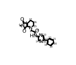 CN1C(=O)C2=C(C1=O)N(CC(=O)Nc1cnc(-c3ccccc3)cn1)CCC2